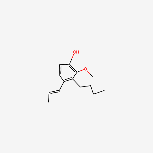 CC=Cc1ccc(O)c(OC)c1CCCC